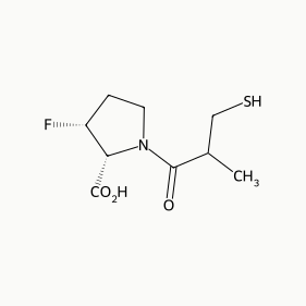 CC(CS)C(=O)N1CC[C@@H](F)[C@H]1C(=O)O